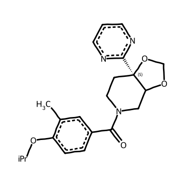 Cc1cc(C(=O)N2CC[C@@]3(c4ncccn4)OCOC3C2)ccc1OC(C)C